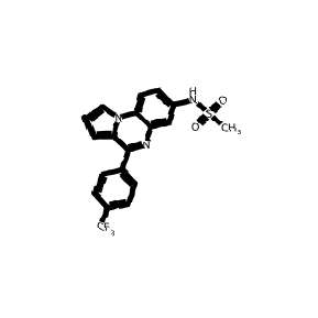 CS(=O)(=O)Nc1ccc2c(c1)nc(-c1ccc(C(F)(F)F)cc1)c1cccn12